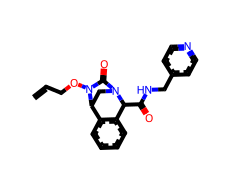 C=CCON1C(=O)N2CC1c1ccccc1C2C(=O)NCc1ccncc1